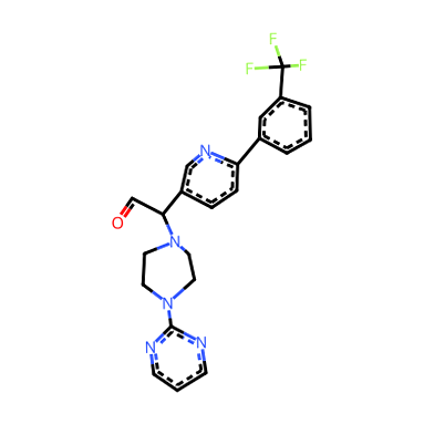 O=CC(c1ccc(-c2cccc(C(F)(F)F)c2)nc1)N1CCN(c2ncccn2)CC1